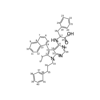 CCc1c(-c2cccc3ccccc23)c2c(NC(Cc3ccccc3)C(=O)O)ncnc2n1CCCc1ccccc1